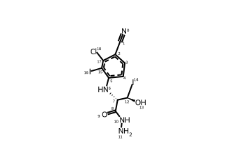 N#Cc1ccc(N[C@@H](C(=O)NN)[C@H](O)I)c(I)c1Cl